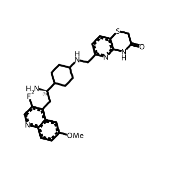 COc1ccc2ncc(F)c(C[C@@H](N)C3CCC(NCc4ccc5c(n4)NC(=O)CS5)CC3)c2c1